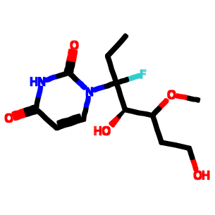 CCC(F)([C@H](O)C(CCO)OC)n1ccc(=O)[nH]c1=O